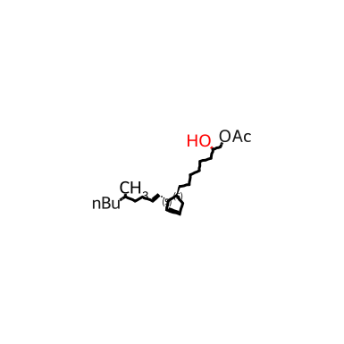 CCCCC(C)CCC=C[C@H]1C=CC[C@@H]1CCCCCCC(O)COC(C)=O